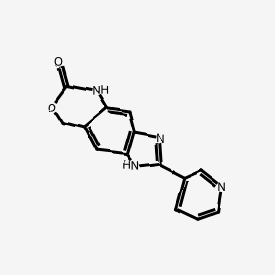 O=C1Nc2cc3nc(-c4cccnc4)[nH]c3cc2CO1